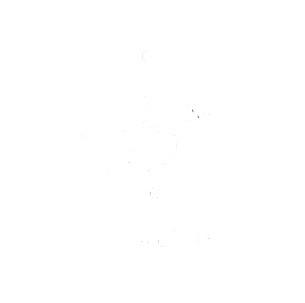 CC(C)COc1cc2c(c3ccccc13)[C@H](CCl)CN2